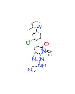 CCn1c(=O)c(-c2ccc(-c3ncccc3C)cc2Cl)cc2cnc(NC3CCN(C)C3)nc21